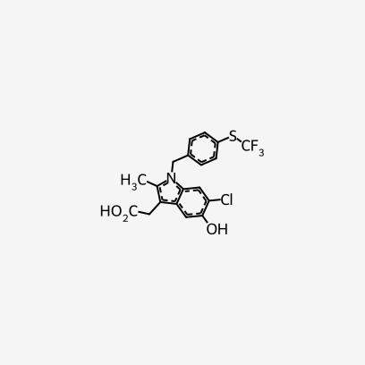 Cc1c(CC(=O)O)c2cc(O)c(Cl)cc2n1Cc1ccc(SC(F)(F)F)cc1